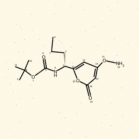 CCC[C@@H](NC(=O)OC(C)(C)C)c1cc(ON)cc(=O)o1